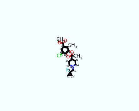 COC(=O)c1cc(Cl)c2c(c1C)OC(C)(C1CCN(CC3(F)CC3)CC1)O2